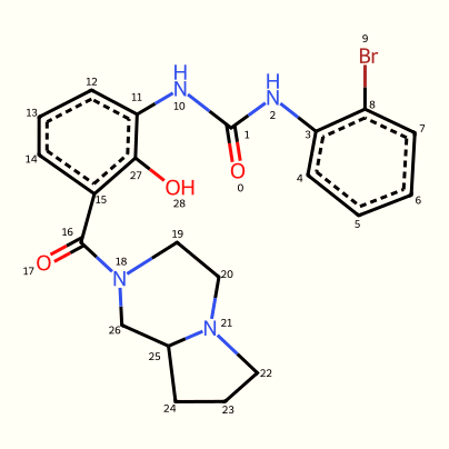 O=C(Nc1ccccc1Br)Nc1cccc(C(=O)N2CCN3CCCC3C2)c1O